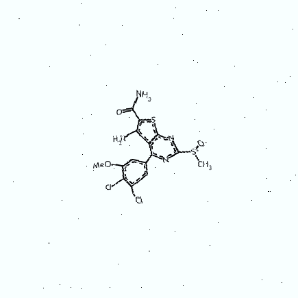 COc1cc(-c2nc([S+](C)[O-])nc3sc(C(N)=O)c(N)c23)cc(Cl)c1Cl